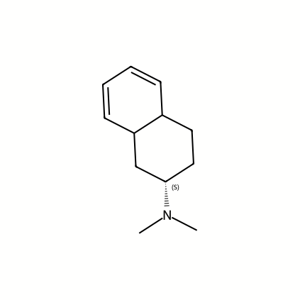 CN(C)[C@H]1CCC2C=CC=CC2C1